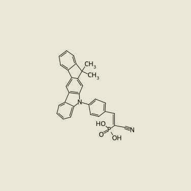 CC1(C)c2ccccc2-c2cc3c4ccccc4n(-c4ccc(C=C(C#N)P(=O)(O)O)cc4)c3cc21